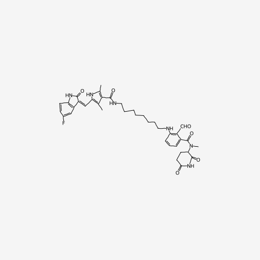 Cc1[nH]c(/C=C2\C(=O)Nc3ccc(F)cc32)c(C)c1C(=O)NCCCCCCCCNc1cccc(C(=O)N(C)C2CCC(=O)NC2=O)c1C=O